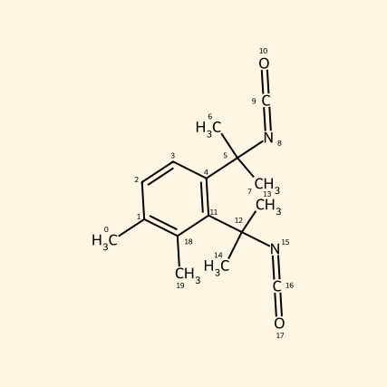 Cc1ccc(C(C)(C)N=C=O)c(C(C)(C)N=C=O)c1C